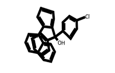 OC(c1ccccc1)(c1ccc(Cl)cc1)c1ccccc1-c1cccc2ccccc12